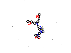 c1ccc(N(c2ccc(N3c4ccccc4Oc4ccccc43)cc2)c2ccc(-c3ccc(-n4c5ccc(-c6ccc7c(c6)oc6ccccc67)cc5c5cc(-c6ccc7c(c6)oc6ccccc67)ccc54)cc3)c3nsnc23)cc1